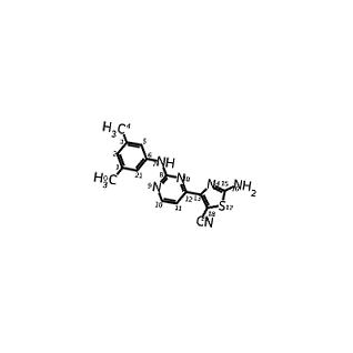 Cc1cc(C)cc(Nc2nccc(-c3nc(N)sc3C#N)n2)c1